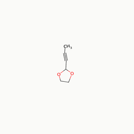 CC#CC1OCCO1